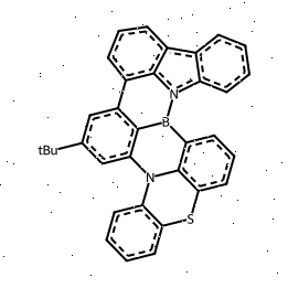 CC(C)(C)c1cc2c3c(c1)N1c4ccccc4Sc4cccc(c41)B3n1c3ccccc3c3cccc-2c31